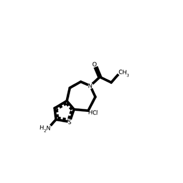 CCC(=O)N1CCc2cc(N)sc2CC1.Cl